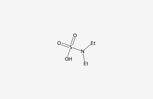 [CH2]CN(CC)S(=O)(=O)O